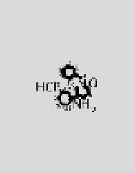 Cl.NC1(c2ccc(=O)n(Cc3ccccc3)c2)CCCCC1